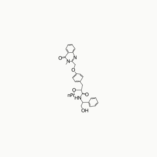 CCCOC(Cc1ccc(OCc2nc3ccccc3c(=O)n2C)cc1)C(=O)NC(CO)c1ccccc1